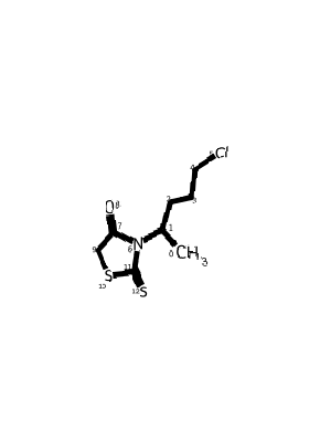 CC(CCCCl)N1C(=O)CSC1=S